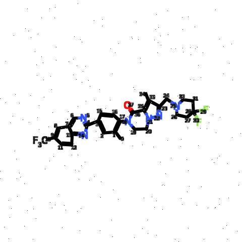 Cc1cc(-c2ncc3cc(C(F)(F)F)ccc3n2)ccc1N1CCn2nc(CN3CCC(F)(F)CC3)c(C)c2C1=O